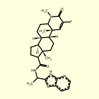 CC(NC(=O)C1CC[C@H]2[C@@H]3CCC4N(C)C(=O)C(F)=C[C@]4(C)[C@@H]3CC[C@]12C)c1nc2cccnc2[nH]1